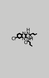 C/C=C/C(=O)Nc1nc2ccc(Cl)cc2nc1NC(=O)/C=C/C